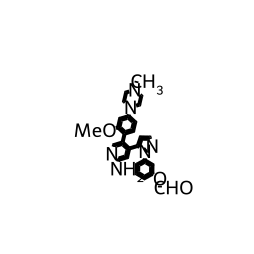 COc1cc(N2CCN(C)CC2)ccc1-c1cnc(N)cc1-c1ccnn1-c1cccc(OC=O)c1